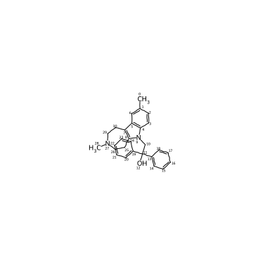 Cc1ccc2c(c1)c1c(n2CC(O)(c2ccccc2)c2ccccc2)CCN(C)CC1